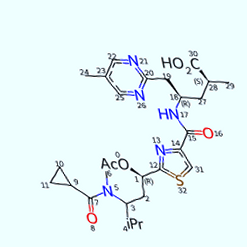 CC(=O)O[C@H](CC(C(C)C)N(C)C(=O)C1CC1)c1nc(C(=O)N[C@@H](Cc2ncc(C)cn2)C[C@H](C)C(=O)O)cs1